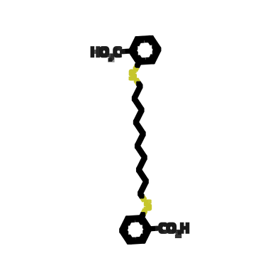 O=C(O)c1ccccc1SCCCCCCCCCCSc1ccccc1C(=O)O